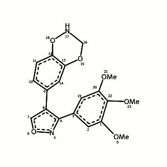 COc1cc(-c2nocc2-c2ccc3c(c2)OCNO3)cc(OC)c1OC